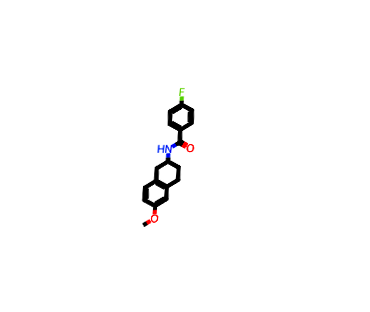 COc1ccc2c(c1)CCC(NC(=O)c1ccc(F)cc1)C2